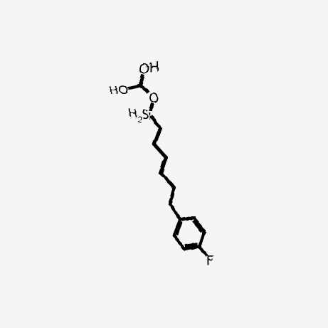 OC(O)O[SiH2]CCCCCCc1ccc(F)cc1